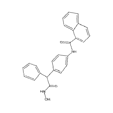 O=C(Nc1ccc(C(C(=O)NO)c2ccccc2)cc1)c1cccc2ccccc12